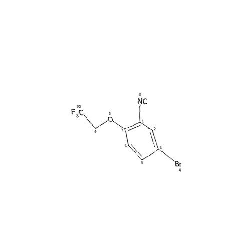 [C-]#[N+]c1cc(Br)ccc1OCC(F)(F)F